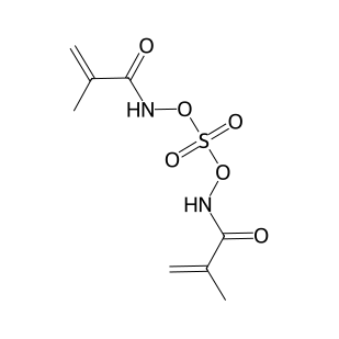 C=C(C)C(=O)NOS(=O)(=O)ONC(=O)C(=C)C